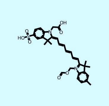 Cc1ccc2c(c1)C(C)(C)C(/C=C/C=C/C=C/C=C1/N(CC(=O)O)c3ccc(S(=O)(=O)O)cc3C1(C)C)=[N+]2COC=O